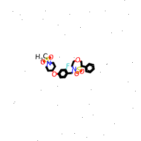 CS(=O)(=O)N1CCC(Oc2ccc(CN3CCOCC(c4ccccc4)S3(=O)=O)c(F)c2)CC1